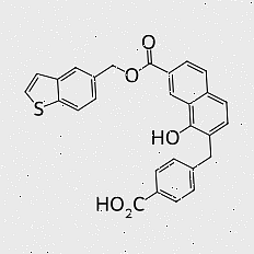 O=C(O)c1ccc(Cc2ccc3ccc(C(=O)OCc4ccc5sccc5c4)cc3c2O)cc1